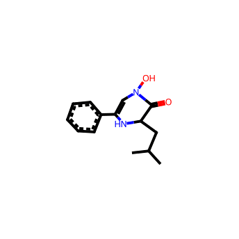 CC(C)CC1NC(c2ccccc2)=CN(O)C1=O